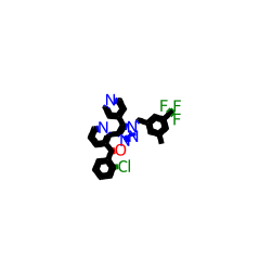 Cc1cc(Cn2nnc(-c3ncccc3C(=O)c3ccccc3Cl)c2-c2ccncc2)cc(C(F)(F)F)c1